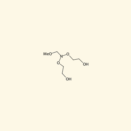 COCN(OCCO)OCCO